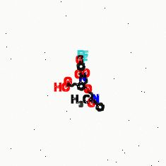 Cc1oc(-c2ccccc2)nc1CCOc1ccc(CCC(=O)O)c2c1CCN(S(=O)(=O)c1ccc(OC(F)(F)F)cc1)C2